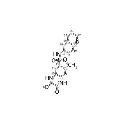 Cc1cc2[nH]c(=O)c(=O)[nH]c2cc1S(=O)(=O)Nc1ccc2ncccc2c1